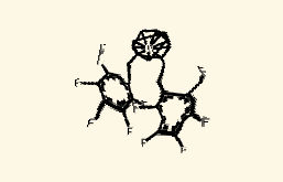 Fc1c(F)c(F)c([C]23[CH]4[CH]5[CH]6[C]2(c2c(F)c(F)c(F)c(F)c2F)[Ti]54632789[CH]3[CH]2[CH]7[CH]8[CH]39)c(F)c1F